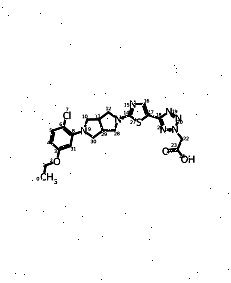 CCOc1ccc(Cl)c(N2CC3CN(c4ncc(-c5nnn(CC(=O)O)n5)s4)CC3C2)c1